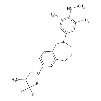 CNc1c(C)cc(N2CCCc3cc(OCC(C)C(F)(F)F)ccc3C2)cc1C